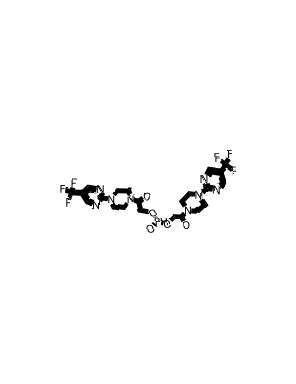 O=C(CO[PH](=O)OCC(=O)N1CCN(c2ncc(C(F)(F)F)cn2)CC1)N1CCN(c2ncc(C(F)(F)F)cn2)CC1